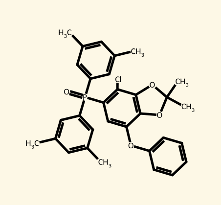 Cc1cc(C)cc(P(=O)(c2cc(C)cc(C)c2)c2cc(Oc3ccccc3)c3c(c2Cl)OC(C)(C)O3)c1